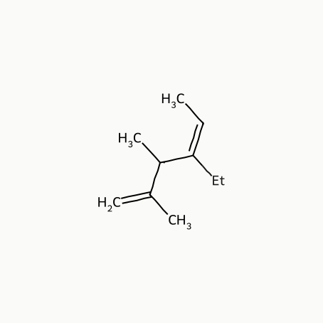 C=C(C)[C](C)C(=CC)CC